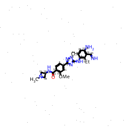 CCc1c(Nc2nc(-c3ccc(C(=O)NC4CN(C)C4)c(OC)c3)nn2C)ccc(N)c1C=N